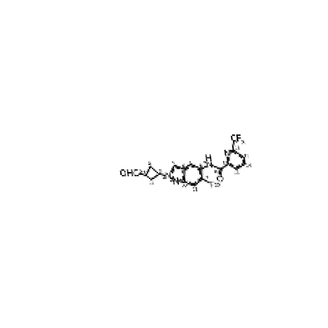 O=CC1CC(n2cc3cc(NC(=O)c4cccc(C(F)(F)F)n4)c(F)cc3n2)C1